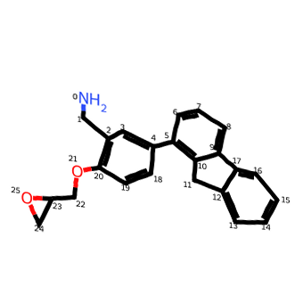 NCc1cc(-c2cccc3c2Cc2ccccc2-3)ccc1OCC1CO1